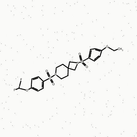 CCOc1ccc(S(=O)(=O)N2CC3(CCN(S(=O)(=O)c4ccc(OC(F)F)cc4)CC3)C2)cc1